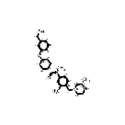 Cc1cc(N(C)C(=O)[C@H]2CC[C@H](Oc3cccc(CO)c3)CC2)ccc1CN1CCN[C@@H](C)C1